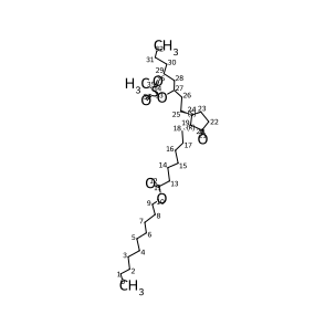 CCCCCCCCCCOC(=O)CCCCCC[C@H]1C(=O)CC[C@@H]1CCC(CCCCC)OS(C)(=O)=O